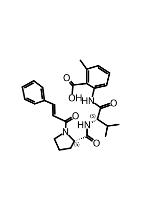 Cc1cccc(NC(=O)[C@@H](NC(=O)[C@@H]2CCCN2C(=O)C=Cc2ccccc2)C(C)C)c1C(=O)O